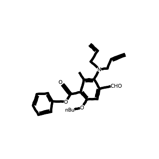 C=CCN(CC=C)c1c(C=O)cc(OCCCC)c(C(=O)Oc2ccccc2)c1C